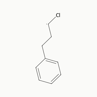 Cl[CH]CCc1ccccc1